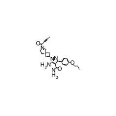 CC#CC(=O)N1CC[C@]2(C1)C[C@H](n1nc(-c3ccc(OCCC)cc3)c(C(N)=O)c1N)C2